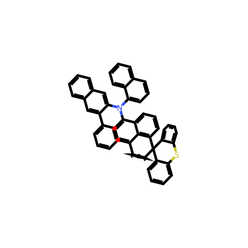 c1ccc(-c2cc3ccccc3cc2N(c2cccc3ccccc23)c2ccc3c4c(cccc24)C2(c4ccccc4Sc4ccccc42)c2ccccc2-3)cc1